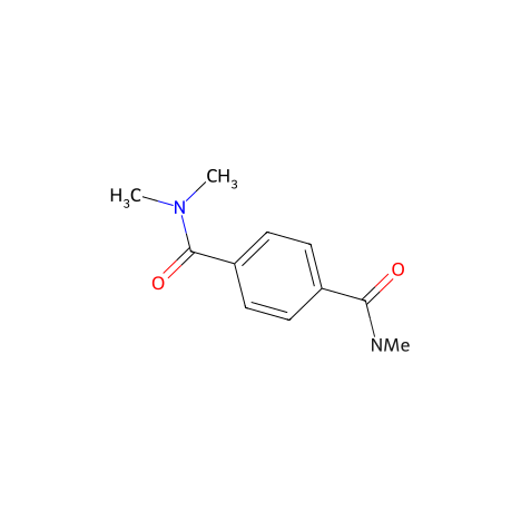 CNC(=O)c1ccc(C(=O)N(C)C)cc1